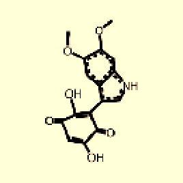 COc1cc2[nH]cc(C3=C(O)C(=O)C=C(O)C3=O)c2cc1OC